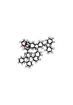 c1ccc(-c2ccccc2-c2nc(-c3ccc4ccccc4c3)nc(-c3cccc4ccc(-n5c6cc(-n7c8ccccc8c8ccccc87)ccc6c6cc7ccccc7cc65)cc34)n2)cc1